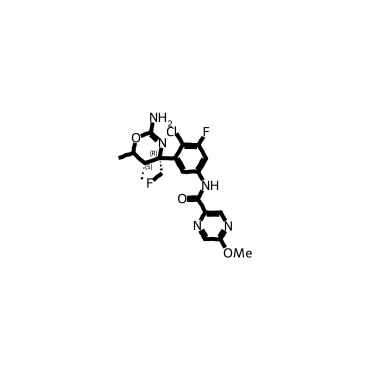 COc1cnc(C(=O)Nc2cc(F)c(Cl)c([C@]3(CF)N=C(N)OC(C)[C@H]3C)c2)cn1